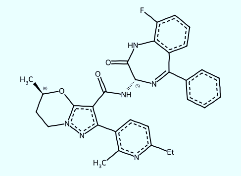 CCc1ccc(-c2nn3c(c2C(=O)N[C@H]2N=C(c4ccccc4)c4cccc(F)c4NC2=O)O[C@H](C)CC3)c(C)n1